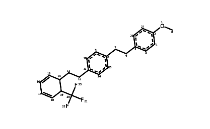 COc1ccc(CCc2ccc(CCC3C=CC=CC3C(F)(F)F)cc2)cc1